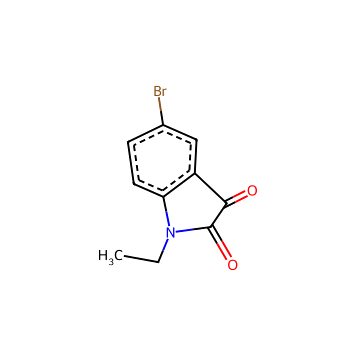 CCN1C(=O)C(=O)c2cc(Br)ccc21